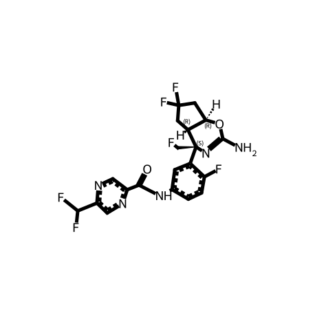 NC1=N[C@](CF)(c2cc(NC(=O)c3cnc(C(F)F)cn3)ccc2F)[C@H]2CC(F)(F)C[C@H]2O1